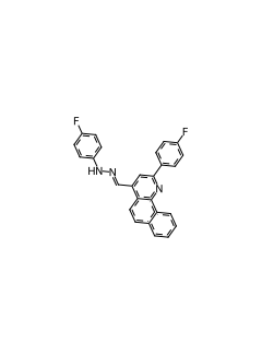 Fc1ccc(NN=Cc2cc(-c3ccc(F)cc3)nc3c2ccc2ccccc23)cc1